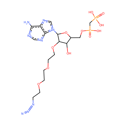 [N-]=[N+]=NCCOCCOCCOC1C(O)C(COP(=O)(O)CP(=O)(O)O)OC1n1cnc2c(N)ncnc21